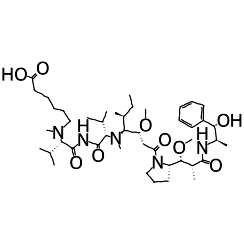 CC[C@H](C)[C@@H]([C@@H](CC(=O)N1CCC[C@H]1[C@H](OC)[C@@H](C)C(=O)N[C@H](C)[C@@H](O)c1ccccc1)OC)N(C)[C@H](C(=O)NC(=O)[C@H](C(C)C)N(C)CCCCCC(=O)O)C(C)C